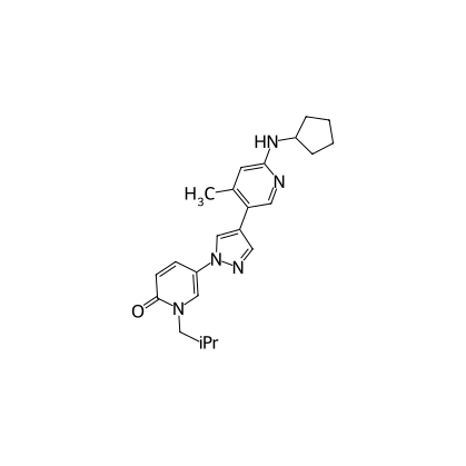 Cc1cc(NC2CCCC2)ncc1-c1cnn(-c2ccc(=O)n(CC(C)C)c2)c1